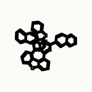 c1ccc2cc(C3=NC(c4ccc5ccccc5c4)NC(c4cccc5oc6cccc(-c7ccc8sc9ccccc9c8c7)c6c45)=N3)ccc2c1